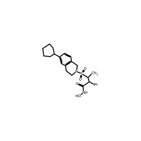 CC(C)C(C(=O)NO)C(C)S(=O)(=O)N1CCc2cc(C3CCCCC3)ccc2C1